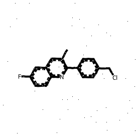 Cc1cc2cc(F)ccc2nc1-c1ccc(CCl)cc1